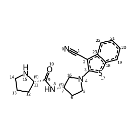 N#Cc1c(N2CC[C@H](NC(=O)[C@@H]3CCCN3)C2)sc2ccccc12